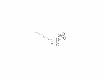 CCCCCCCCC(F)C(=O)OC[Si](OC)(OC)OC